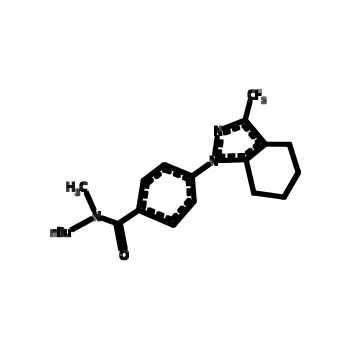 CCCCN(C)C(=O)c1ccc(-n2nc(C(F)(F)F)c3c2CCCC3)cc1